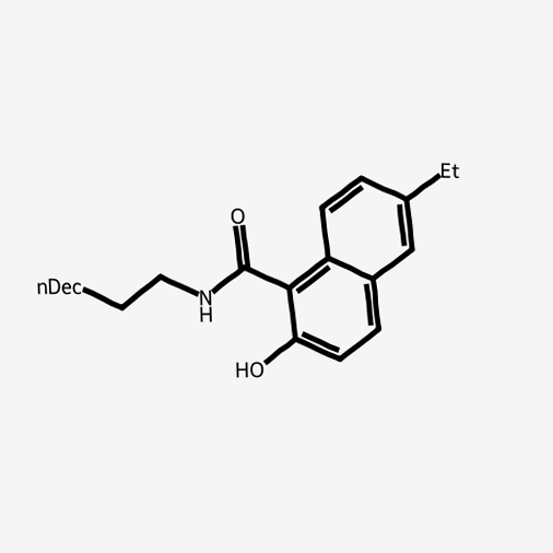 CCCCCCCCCCCCNC(=O)c1c(O)ccc2cc(CC)ccc12